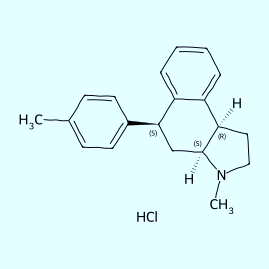 Cc1ccc([C@@H]2C[C@H]3[C@H](CCN3C)c3ccccc32)cc1.Cl